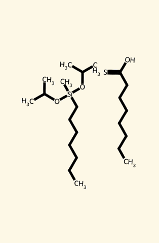 CCCCCCCC(O)=S.CCCCCCC[Si](C)(OC(C)C)OC(C)C